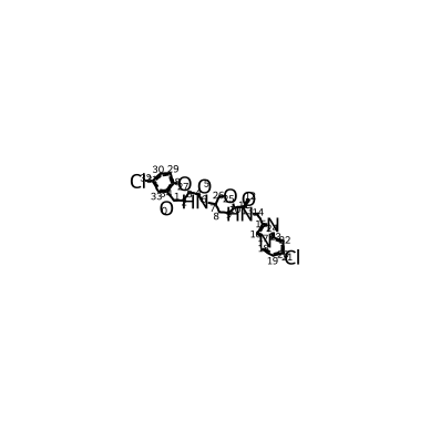 O=C1CC(C(=O)NC2CCC(C(=O)NCc3cn4ccc(Cl)cc4n3)OC2)Oc2ccc(Cl)cc21